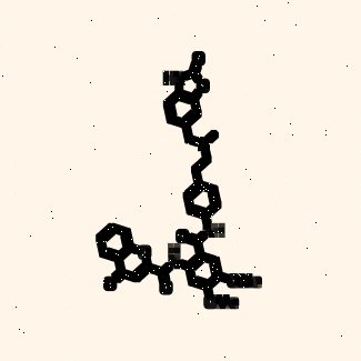 COc1cc(NC(=O)c2cc(=O)c3ccccc3o2)c(C(=O)Nc2ccc(CCN(C)Cc3ccc4[nH]c(=O)oc4c3)cc2)cc1OC